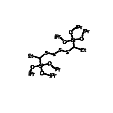 CCC(SSSSC(CC)[Si](OC(C)C)(OC(C)C)OC(C)C)[Si](OC(C)C)(OC(C)C)OC(C)C